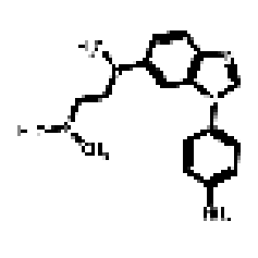 CN(C)CCN(C)c1ccc2ncn(-c3ccc(N)cc3)c2c1